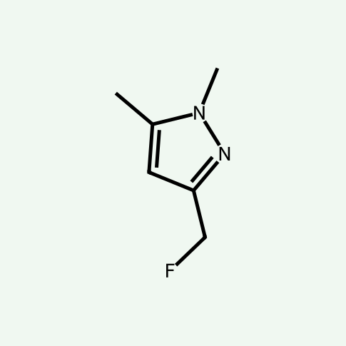 Cc1cc(CF)nn1C